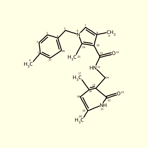 Cc1ccc(Cn2cc(C)c(C(=O)NCc3c(C)cc(C)[nH]c3=O)c2C)cc1